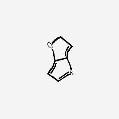 C1=NC2=CCOC2=C1